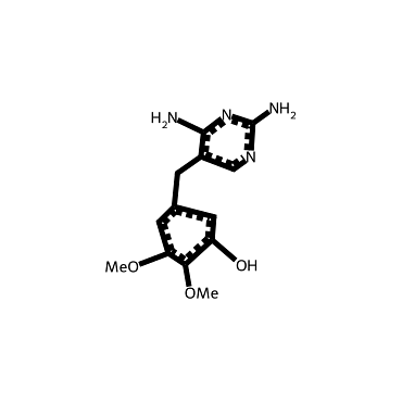 COc1cc(Cc2cnc(N)nc2N)cc(O)c1OC